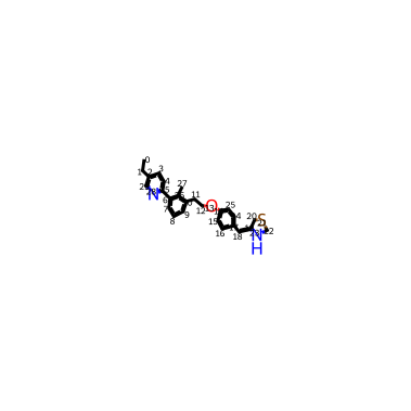 CCc1ccc(-c2cccc(CCOc3ccc(/C=C4\CSCN4)cc3)c2C)nc1